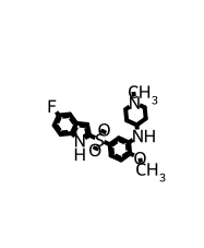 COc1ccc(S(=O)(=O)c2cc3cc(F)ccc3[nH]2)cc1NC1CCN(C)CC1